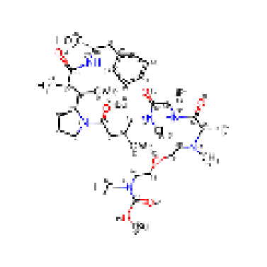 CC[C@H](C)[C@@H]([C@@H](CC(=O)N1CCC[C@H]1[C@H](OC)[C@@H](C)C(=O)N[C@@H](Cc1ccccc1)C(=O)O)OC)N(C)C(=O)[C@@H](NC(=O)[C@H](C(C)C)N(C)CCOCCN(C)C(=O)OC(C)(C)C)C(C)C